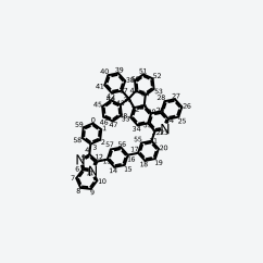 c1ccc(-c2nc3ccccn3c2-c2ccc(-c3cccc(-c4nc5ccccc5c5c6c(ccc45)C(c4ccccc4)(c4ccccc4)c4ccccc4-6)c3)cc2)cc1